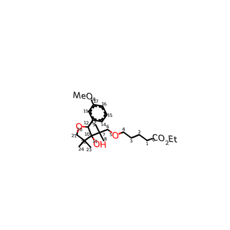 CCOC(=O)CCCCOCC(C)(C)C1(O)C(c2cccc(OC)c2)OCC1(C)C